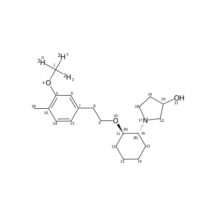 [2H]C([2H])([2H])Oc1cc(CCO[C@@H]2CCCC[C@H]2N2CCC(O)C2)ccc1C